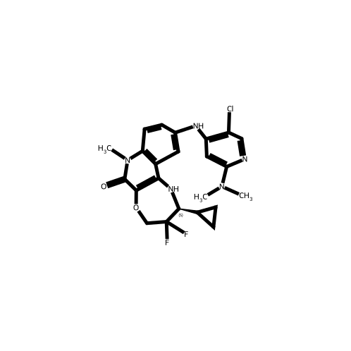 CN(C)c1cc(Nc2ccc3c(c2)c2c(c(=O)n3C)OCC(F)(F)[C@H](C3CC3)N2)c(Cl)cn1